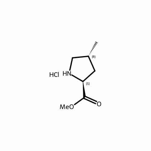 COC(=O)[C@@H]1C[C@@H](C)CN1.Cl